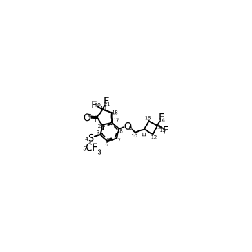 O=C1c2c(SC(F)(F)F)ccc(OCC3CC(F)(F)C3)c2CC1(F)F